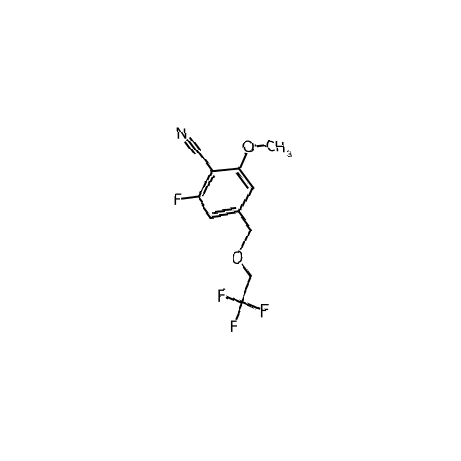 COc1cc(COCC(F)(F)F)cc(F)c1C#N